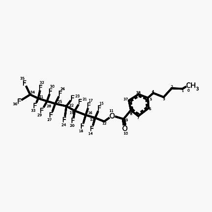 CCCCCc1ccc(C(=O)OCC(F)(F)C(F)(F)C(F)(F)C(F)(F)C(F)(F)C(F)(F)C(F)(F)C(F)F)cc1